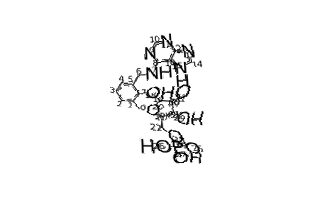 Cc1cccc(CNc2ncnc3nc[nH]c23)c1OC1O[C@H](COP(=O)(O)O)[C@@H](O)[C@H]1O